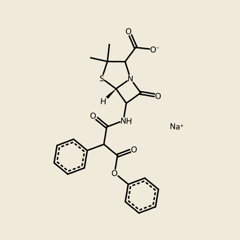 CC1(C)S[C@H]2C(NC(=O)C(C(=O)Oc3ccccc3)c3ccccc3)C(=O)N2C1C(=O)[O-].[Na+]